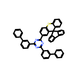 c1ccc(-c2cccc(-c3nc(-c4cccc(-c5ccccc5)c4)nc(-c4ccc5c(c4)C4(c6ccccc6S5)c5ccccc5-c5ccccc54)n3)c2)cc1